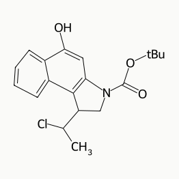 CC(Cl)C1CN(C(=O)OC(C)(C)C)c2cc(O)c3ccccc3c21